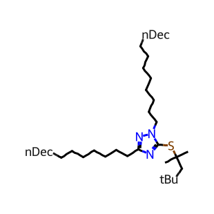 CCCCCCCCCCCCCCCCCCn1nc(CCCCCCCCCCCCCCCCC)nc1SC(C)(C)CC(C)(C)C